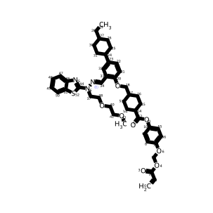 C=CC(=O)OCOc1ccc(OC(=O)C2CCC(COc3ccc(C4CCC(CC)CC4)cc3/C=N/N(CCOCCOC)c3nc4ccccc4s3)CC2)cc1